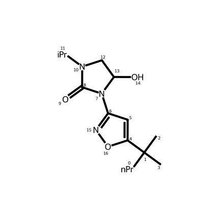 CCCC(C)(C)c1cc(N2C(=O)N(C(C)C)CC2O)no1